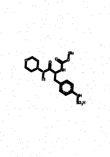 CCN(C(=O)C(Cc1ccc(NS(=O)(=O)O)cc1)NC(=O)OC(C)(C)C)N1CCOCC1